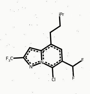 CC(C)CCc1cc(C(F)F)c(Cl)n2nc(C(F)(F)F)cc12